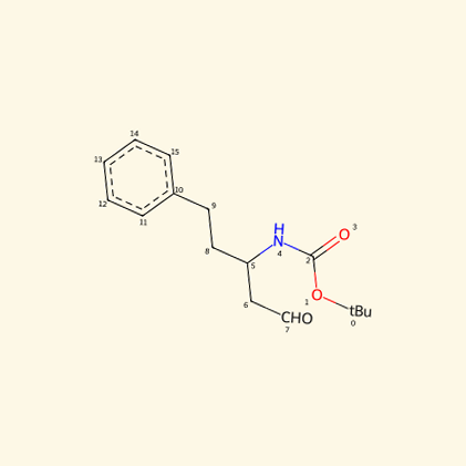 CC(C)(C)OC(=O)NC(CC=O)CCc1ccccc1